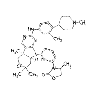 Cc1cc(Nc2ncc3c(n2)N(c2cccc(N4C(=O)OC[C@@H]4C)n2)[C@H]2CC(C)(C)OC[C@@]32C)ccc1C1CCN(C)CC1